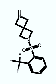 O=S(=O)(c1ccccc1C(F)(F)F)N1CC2(CNC2)C1